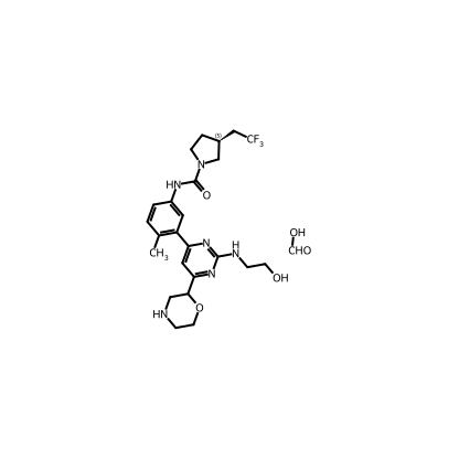 Cc1ccc(NC(=O)N2CC[C@@H](CC(F)(F)F)C2)cc1-c1cc(C2CNCCO2)nc(NCCO)n1.O=CO